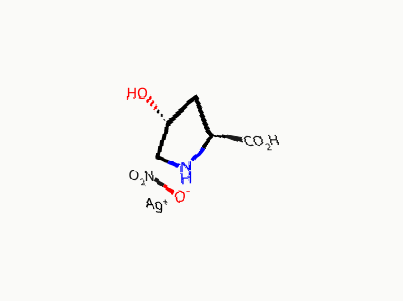 O=C(O)[C@@H]1C[C@@H](O)CN1.O=[N+]([O-])[O-].[Ag+]